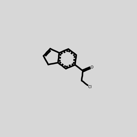 O=C(CCl)c1ccc2c(c1)CC=C2